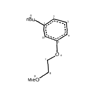 CCCCc1cccc(OCCOC)c1